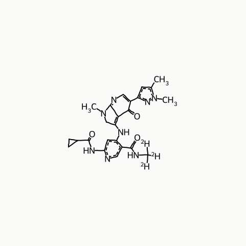 [2H]C([2H])([2H])NC(=O)c1cnc(NC(=O)C2CC2)cc1NC1=C2C(=O)C(c3cc(C)n(C)n3)=CN=C2N(C)C1